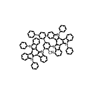 N#Cc1c(-n2c3ccccc3c3c4c(c5ccccc5n4-c4ccccc4)c4c(c5ccccc5n4-c4ccccc4)c32)cc(-c2cccc(-c3ccccc3)c2)cc1-n1c2ccccc2c2c3c(c4ccccc4n3-c3ccccc3)c3c(c4ccccc4n3-c3ccccc3)c21